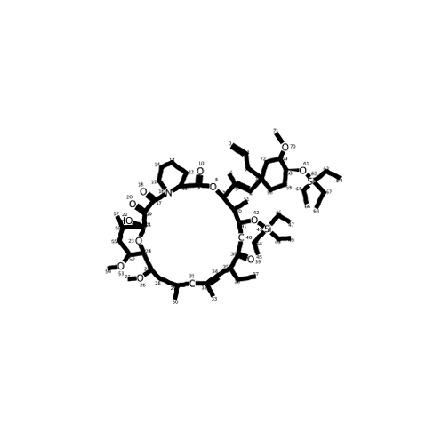 C=CCC1(C=C(C)C2OC(=O)C3CCCCN3C(=O)C(=O)C3(O)OC(C(OC)CC(C)C/C(C)=C/C(CC)C(=O)CC(O[Si](CC)(CC)CC)C2C)C(OC)CC3C)CC[C@H](O[Si](CC)(CC)CC)C(OC)C1